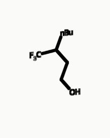 CCCCC(CCO)C(F)(F)F